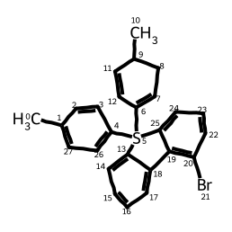 Cc1ccc(S2(C3=CCC(C)C=C3)c3ccccc3-c3c(Br)cccc32)cc1